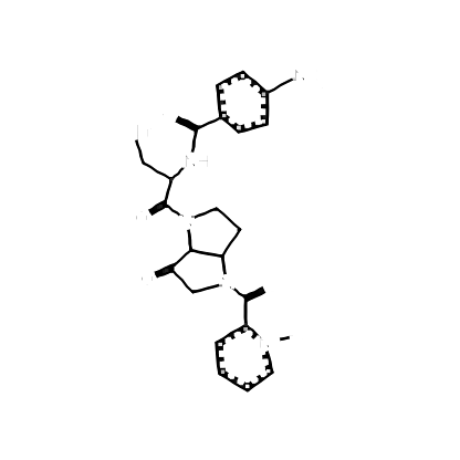 CC(C)CC(NC(=O)c1ccc(N)cc1)C(=O)N1CCC2C1C(=O)CN2C(=O)c1cccc[n+]1[O-]